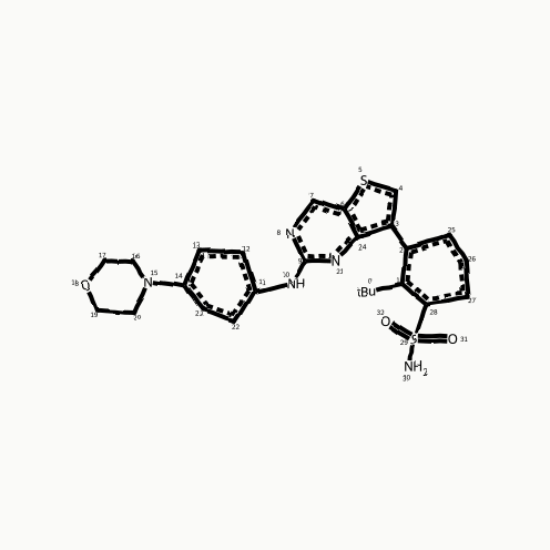 CC(C)(C)c1c(-c2csc3cnc(Nc4ccc(N5CCOCC5)cc4)nc23)cccc1S(N)(=O)=O